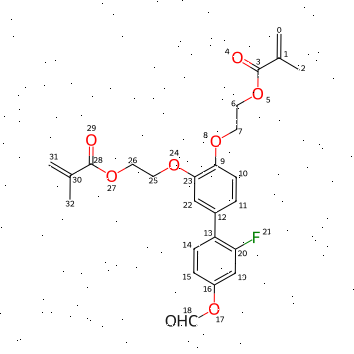 C=C(C)C(=O)OCCOc1ccc(-c2ccc(OC=O)cc2F)cc1OCCOC(=O)C(=C)C